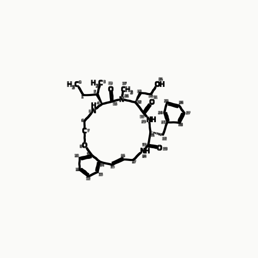 CCC(C)[C@@H]1NCCOc2ccccc2/C=C/CNC(=O)[C@@H](Cc2ccccc2)NC(=O)[C@H](CCO)N(C)C1=O